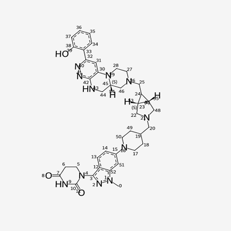 Cn1nc(N2CCC(=O)NC2=O)c2ccc(N3CCC(CN4C[C@@H]5C(CN6CCN7c8cc(-c9ccccc9O)nnc8NC[C@H]7C6)[C@@H]5C4)CC3)cc21